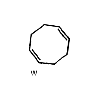 C1=CCCC=CCC1.[W]